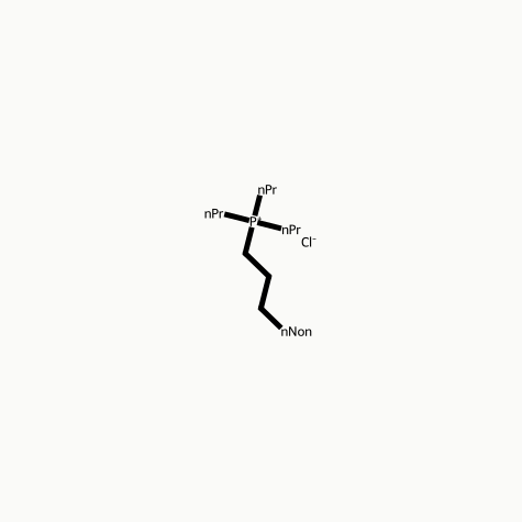 CCCCCCCCCCCC[P+](CCC)(CCC)CCC.[Cl-]